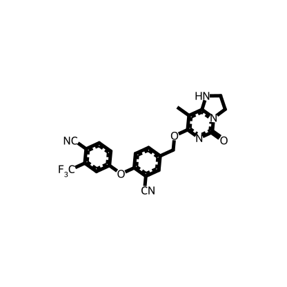 Cc1c(OCc2ccc(Oc3ccc(C#N)c(C(F)(F)F)c3)c(C#N)c2)nc(=O)n2c1NCC2